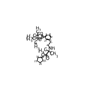 CC(C)(NCCc1cccc(B2OC(C)(C)C(C)(C)O2)c1)C(=O)OC1CCCC1